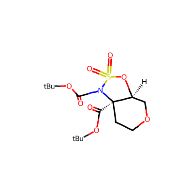 CC(C)(C)OC(=O)N1[C@]2(C(=O)OC(C)(C)C)CCOC[C@@H]2OS1(=O)=O